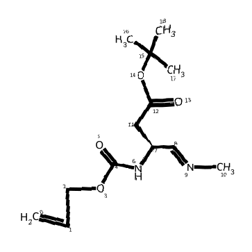 C=CCOC(=O)N[C@H](/C=N/C)CC(=O)OC(C)(C)C